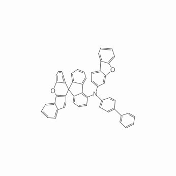 c1ccc(-c2ccc(N(c3ccc4c(c3)oc3ccccc34)c3cccc4c3-c3ccccc3C43c4ccccc4Oc4c3ccc3ccccc43)cc2)cc1